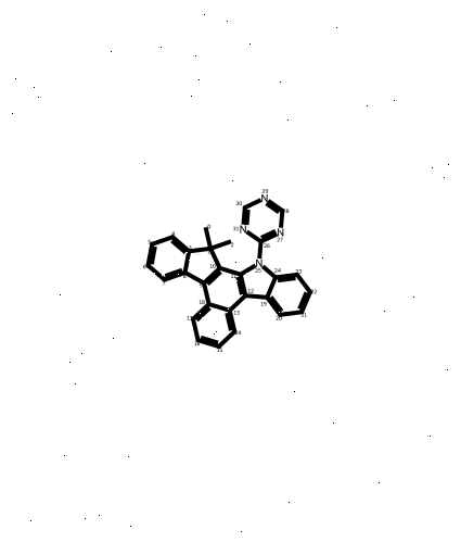 CC1(C)c2ccccc2-c2c1c1c(c3ccccc23)c2ccccc2n1-c1ncncn1